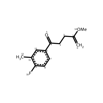 C=C(CCC(=O)c1ccc(F)c(C)c1)OC